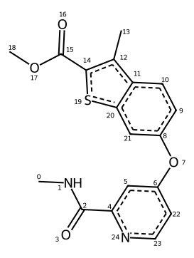 CNC(=O)c1cc(Oc2ccc3c(C)c(C(=O)OC)sc3c2)ccn1